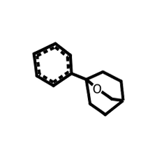 c1ccc(C23CCC(CC2)CO3)cc1